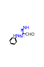 N=N/C(C=O)=N\Nc1ccccc1